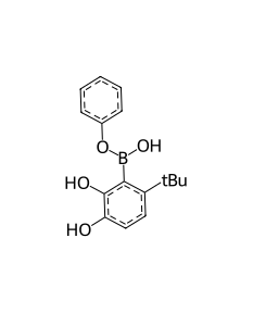 CC(C)(C)c1ccc(O)c(O)c1B(O)Oc1ccccc1